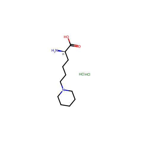 Cl.Cl.N[C@H](CCCCN1CCCCC1)C(=O)O